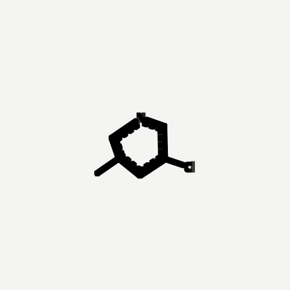 Cc1cncc(Cl)c1